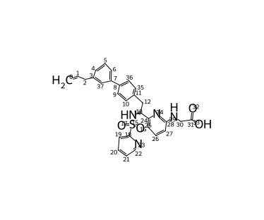 C=CCc1cccc(-c2ccc(CC(NS(=O)(=O)c3ccccn3)c3cccc(NCC(=O)O)n3)cc2)c1